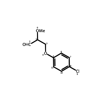 COC(C=O)COc1ccc(Cl)cc1